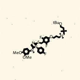 COc1ccc(N(C)c2cnc(SCc3c(F)cc(OCCC[N+](C)(C)CC(C)(C)CCOC(C)(C)C)cc3F)n2-c2ccc(F)cc2)cc1OC